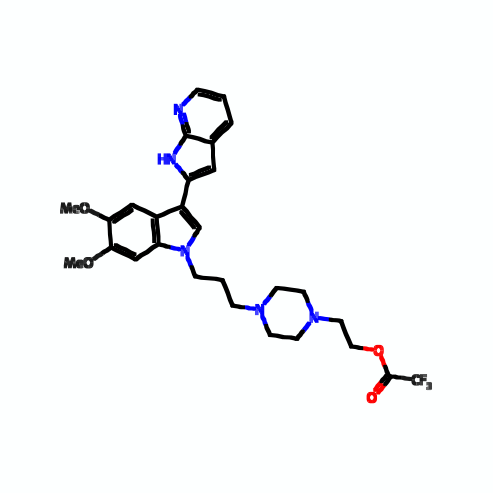 COc1cc2c(-c3cc4cccnc4[nH]3)cn(CCCN3CCN(CCOC(=O)C(F)(F)F)CC3)c2cc1OC